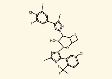 Cc1nc(C2OC3COC3C(n3cc(-c4cc(F)c(Cl)c(F)c4)c(C)n3)C2O)n(-c2cc(Cl)ccc2C(F)(F)F)n1